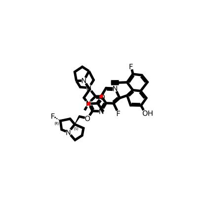 C#Cc1c(F)ccc2cc(O)cc(-c3ncc4c(N5CC6CCC(C5)N6CCN(C)C(C)=O)nc(OC[C@@]56CCCN5C[C@H](F)C6)nc4c3F)c12